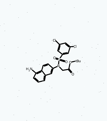 CC(C)(C)OC(=O)CN(c1ccc2c(N)cccc2c1)S(=O)(=O)c1cc(Cl)cc(Cl)c1